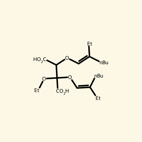 CCCCC(=COC(C(=O)O)C(OC=C(CC)CCCC)(OCC)C(=O)O)CC